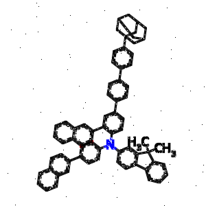 CC1(C)c2ccccc2-c2ccc(N(c3ccc(-c4ccc5ccccc5c4)cc3)c3ccc(-c4ccc(-c5ccc(C67CC8CC(CC(C8)C6)C7)cc5)cc4)cc3-c3ccc4ccccc4c3)cc21